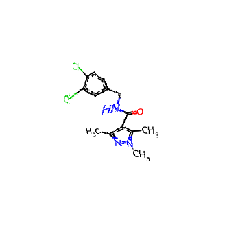 Cc1nn(C)c(C)c1C(=O)NCc1ccc(Cl)c(Cl)c1